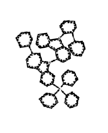 c1ccc(-c2ccc3c4ccc([Si](c5ccccc5)(c5ccccc5)c5ccccc5)cc4n(-c4cccc5c4c4ccccc4n5-c4ccccc4-c4ccccc4)c3c2)cc1